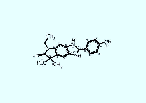 CCN1C(=O)C(C)(C)c2cc3c(cc21)NC(c1ccc(O)cc1)N3